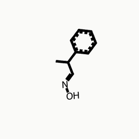 CC(/C=N/O)c1ccccc1